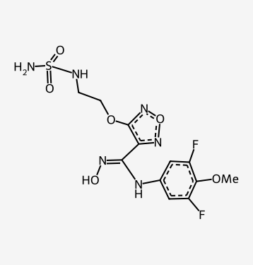 COc1c(F)cc(N/C(=N\O)c2nonc2OCCNS(N)(=O)=O)cc1F